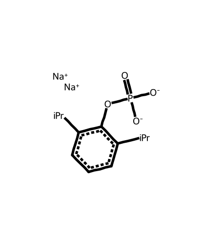 CC(C)c1cccc(C(C)C)c1OP(=O)([O-])[O-].[Na+].[Na+]